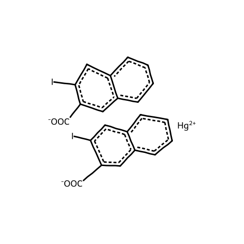 O=C([O-])c1cc2ccccc2cc1I.O=C([O-])c1cc2ccccc2cc1I.[Hg+2]